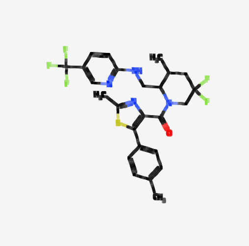 Cc1ccc(-c2sc(C)nc2C(=O)N2CC(F)(F)CC(C)C2CNc2ccc(C(F)(F)F)cn2)cc1